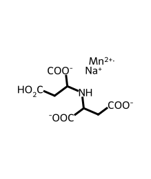 O=C([O-])CC(NC(CC(=O)O)C(=O)[O-])C(=O)[O-].[Mn+2].[Na+]